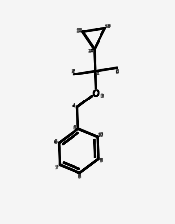 CC(C)(OCc1ccccc1)C1CC1